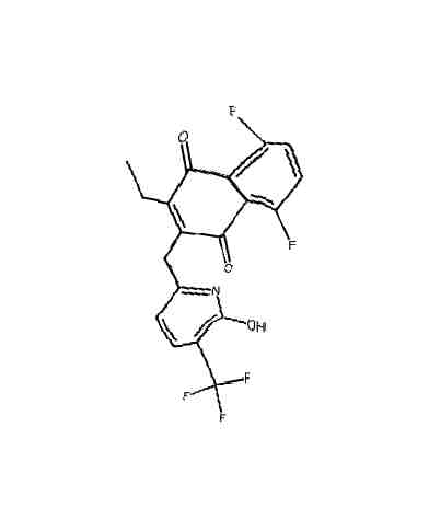 CCC1=C(Cc2ccc(C(F)(F)F)c(O)n2)C(=O)c2c(F)ccc(F)c2C1=O